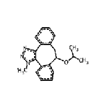 CC(C)OC1Cc2ccccc2-c2nnn(C)c2-c2ccccc21